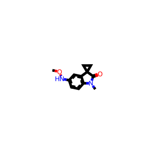 CONc1ccc2c(c1)C1(CC1)C(=O)N2C